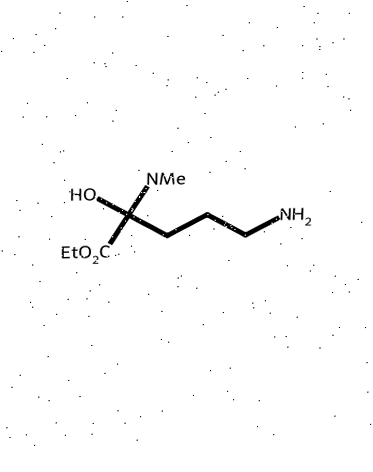 CCOC(=O)C(O)(CCCN)NC